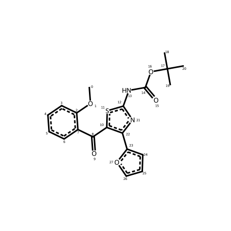 COc1ccccc1C(=O)c1sc(NC(=O)OC(C)(C)C)nc1-c1ccco1